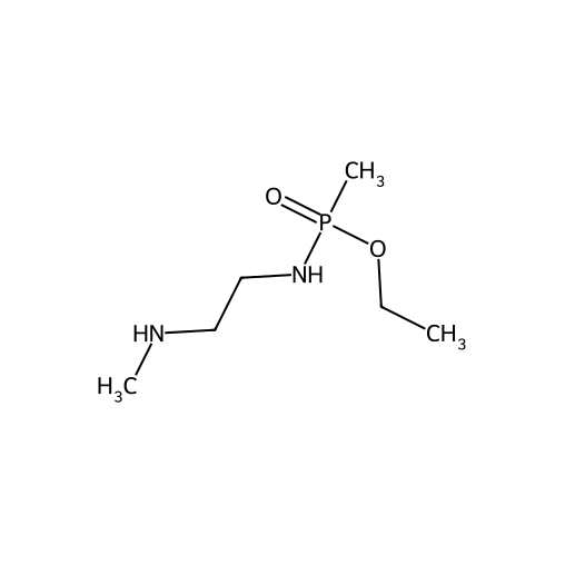 CCOP(C)(=O)NCCNC